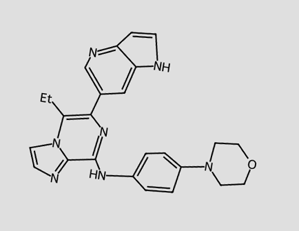 CCc1c(-c2cnc3cc[nH]c3c2)nc(Nc2ccc(N3CCOCC3)cc2)c2nccn12